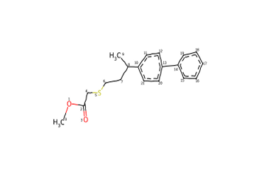 COC(=O)CSCCC(C)c1ccc(-c2ccccc2)cc1